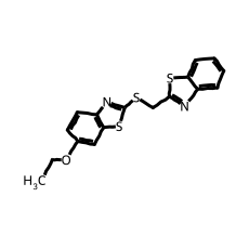 CCOc1ccc2nc(SCc3nc4ccccc4s3)sc2c1